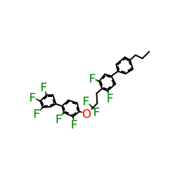 CCCc1ccc(-c2cc(F)c(CCC(F)(F)Oc3ccc(-c4cc(F)c(F)c(F)c4)c(F)c3F)c(F)c2)cc1